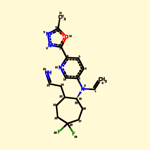 C=CN(c1ccc(-c2nnc(C(F)(F)F)o2)nc1)[C@@H]1CCC(F)(F)CCC1CC=N